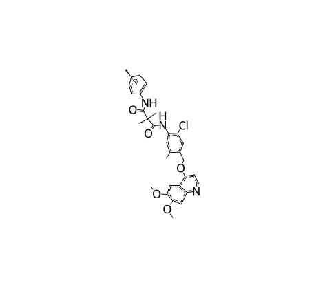 COc1cc2nccc(OCc3cc(Cl)c(NC(=O)C(C)(C)C(=O)NC4=CC[C@H](C)C=C4)cc3C)c2cc1OC